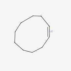 [CH]1/C=C\CCCCCCC1